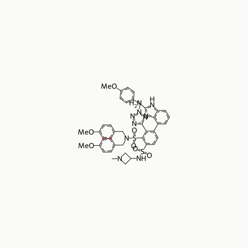 COc1ccc(CN(Cc2ccc(OC)cc2)S(=O)(=O)c2c(S(=O)(=O)NC3CN(C)C3)ccc(-c3cccc4[nH]c(N)nc34)c2-c2nnn(Cc3ccc(OC)cc3)n2)cc1